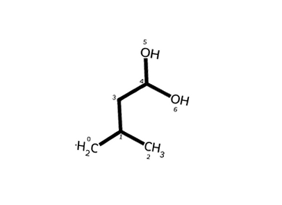 [CH2]C(C)CC(O)O